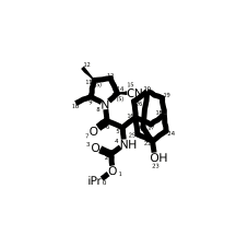 CC(C)OC(=O)NC(C(=O)N1C(C)[C@@H](C)C[C@H]1C#N)C12CC3CC(CC(O)(C3)C1)C2